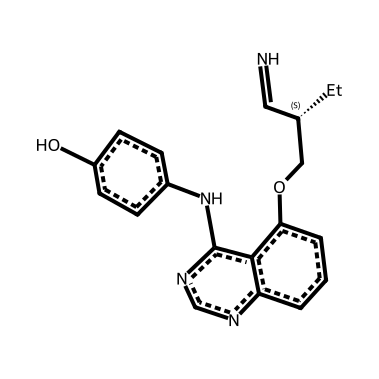 CC[C@@H](C=N)COc1cccc2ncnc(Nc3ccc(O)cc3)c12